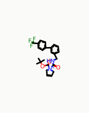 CC(C)(C)OC(=O)[N+]1(C(=O)NCc2cccc(-c3ccc(C(F)(F)F)cc3)c2)CC=CC1